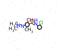 CCN(C)C=Nc1cc(C)c(C(=O)CNc2ccccc2Cl)cc1C